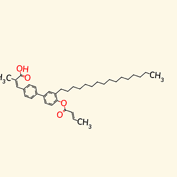 CC=CC(=O)Oc1ccc(-c2ccc(C=C(C)C(=O)O)cc2)cc1CCCCCCCCCCCCCCCC